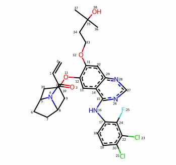 C=CC(=O)N1C2CCC1CC(Oc1cc3c(Nc4ccc(Cl)c(Cl)c4F)ncnc3cc1OCCC(C)(C)O)C2